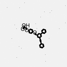 O=C(O)COc1ccc(OCc2cc(C#Cc3ccccc3)cc(-c3ccccc3)c2)cc1